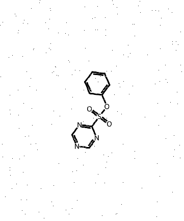 O=S(=O)(Oc1ccccc1)c1ncncn1